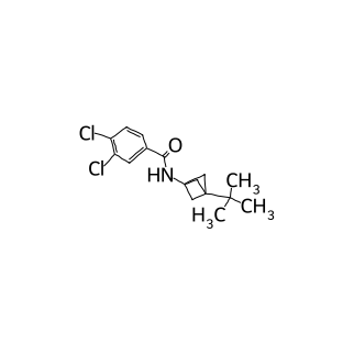 CC(C)(C)C12CC(NC(=O)c3ccc(Cl)c(Cl)c3)(C1)C2